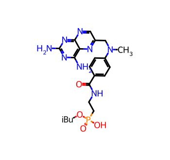 CCC(C)OP(=O)(O)CCNC(=O)c1ccc(N(C)Cc2cnc3nc(N)nc(N)c3n2)cc1